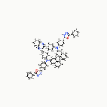 c1ccc(-c2nnc(-c3ccc(N(c4ccc(-c5nc6ccccc6nc5-c5ccc(N(c6ccc(-c7nnc(-c8ccccc8)o7)cc6)c6ccc7ccccc7c6)cc5)cc4)c4ccc5ccccc5c4)cc3)o2)cc1